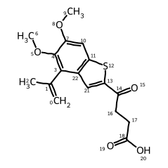 C=C(C)c1c(OC)c(OC)cc2sc(C(=O)CCC(=O)O)cc12